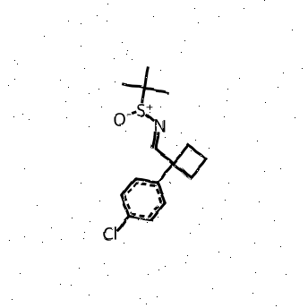 CC(C)(C)[S+]([O-])/N=C/C1(c2ccc(Cl)cc2)CCC1